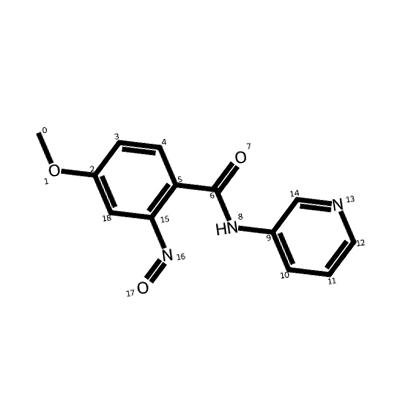 COc1ccc(C(=O)Nc2cccnc2)c(N=O)c1